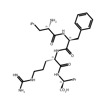 CC(C)C[C@H](N)C(=O)N[C@@H](Cc1ccccc1)C(=O)N[C@@H](CCCNC(=N)N)C(=O)N[C@H](C(=O)O)C(C)C